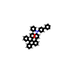 c1ccc(-c2ccc(N(c3ccccc3)c3ccc(-c4cccc5c4c(-c4ccccc4)c(-c4ccccc4)c4ccccc45)cc3)cc2)cc1